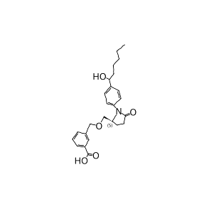 CCCCCC(O)c1ccc(N2C(=O)CC[C@H]2COCc2cccc(C(=O)O)c2)cc1